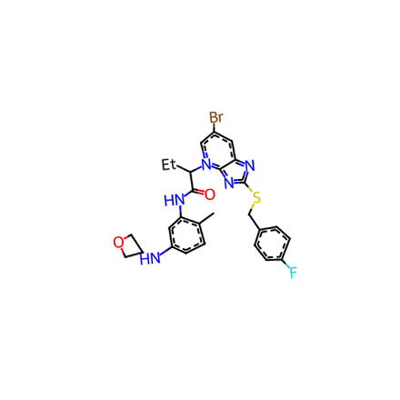 CCC(C(=O)Nc1cc(NC2COC2)ccc1C)n1cc(Br)cc2nc(SCc3ccc(F)cc3)nc1-2